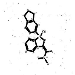 CC(=C1C[N+]([O-])(c2ccc3c(c2)CCC3)c2ccccc21)N(C)C